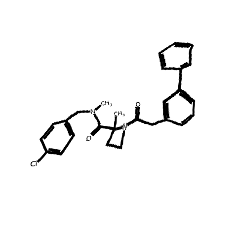 CN(Cc1ccc(Cl)cc1)C(=O)C1(C)CCN1C(=O)Cc1cccc(-c2ccccc2)c1